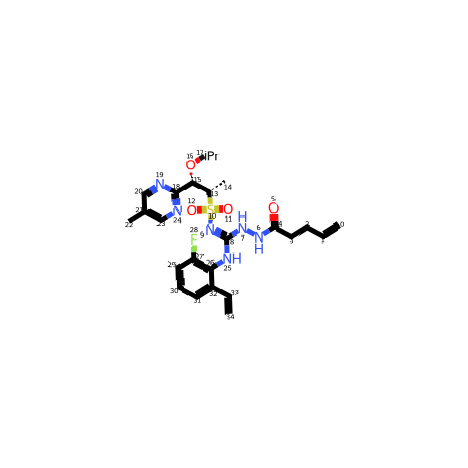 C=CCCC(=O)NN/C(=N\S(=O)(=O)[C@@H](C)[C@@H](OC(C)C)c1ncc(C)cn1)Nc1c(F)cccc1C=C